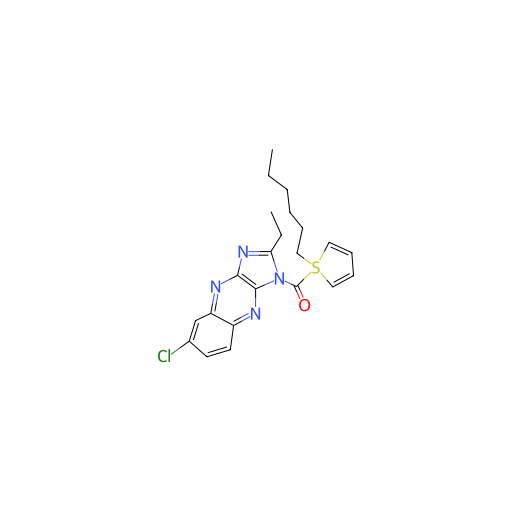 CCCCCCS1(C(=O)n2c(CC)nc3nc4cc(Cl)ccc4nc32)C=CC=C1